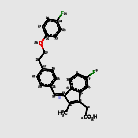 CC1=C(CC(=O)O)c2cc(F)ccc2/C1=C\c1ccc(CCOc2ccc(F)cc2)cc1